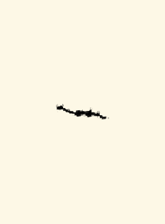 C=C(C)C(=O)OCCOCCOc1ccc(C(=O)Oc2ccc(/C=C/C(=O)OCCC#N)c(F)c2)cc1